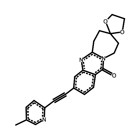 Cc1ccc(C#Cc2ccc3c(=O)n4c(nc3c2)CCC2(CC4)OCCO2)nc1